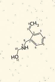 C=Cc1ccccc1CNCO